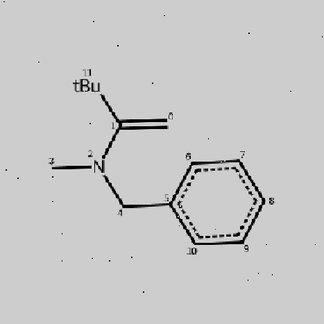 C=C(N(C)Cc1ccccc1)C(C)(C)C